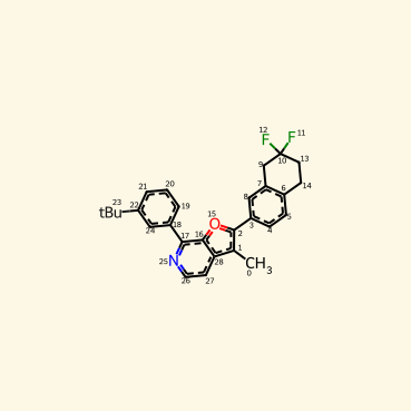 Cc1c(-c2ccc3c(c2)CC(F)(F)CC3)oc2c(-c3cccc(C(C)(C)C)c3)nccc12